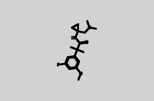 COc1cc(F)cc(C(C)(C)C(=O)NC2(CN(C)C)CC2)c1